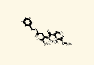 COC(=O)C(CC(=O)OCc1ccccc1)N(C)C(=O)C(CC(C)C)N(C)C(=O)OC(C)(C)C